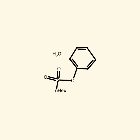 CCCCCCS(=O)(=O)Oc1ccccc1.O